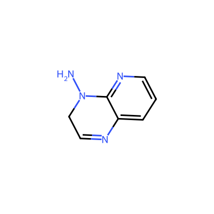 NN1CC=Nc2cccnc21